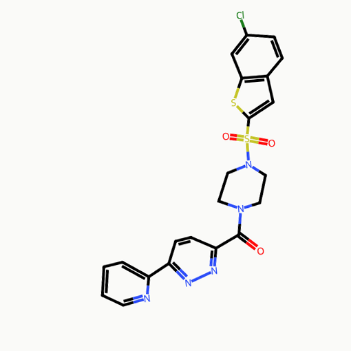 O=C(c1ccc(-c2ccccn2)nn1)N1CCN(S(=O)(=O)c2cc3ccc(Cl)cc3s2)CC1